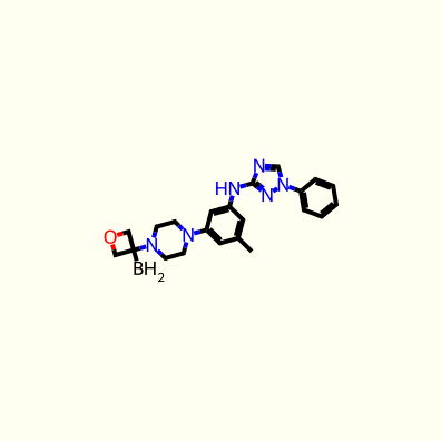 BC1(N2CCN(c3cc(C)cc(Nc4ncn(-c5ccccc5)n4)c3)CC2)COC1